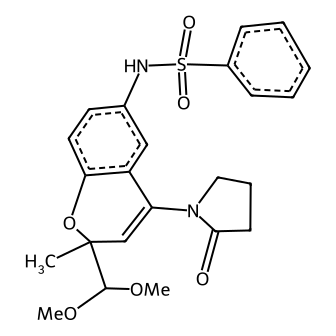 COC(OC)C1(C)C=C(N2CCCC2=O)c2cc(NS(=O)(=O)c3ccccc3)ccc2O1